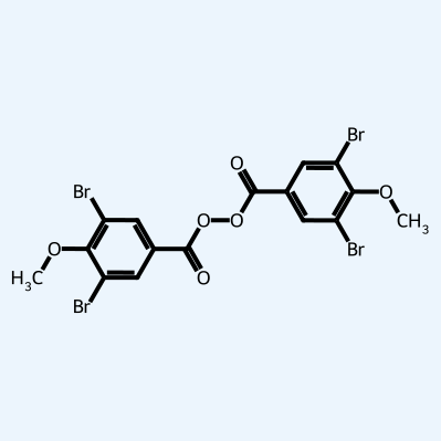 COc1c(Br)cc(C(=O)OOC(=O)c2cc(Br)c(OC)c(Br)c2)cc1Br